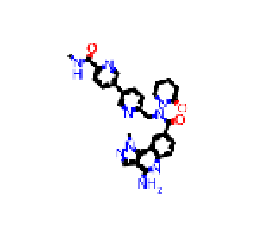 CNC(=O)c1ccc(-c2ccc(CN(C(=O)c3ccc4nc(N)c5cnn(C)c5c4c3)N3CCCCC3=O)nc2)cn1